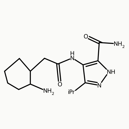 CC(C)c1n[nH]c(C(N)=O)c1NC(=O)CC1CCCCC1N